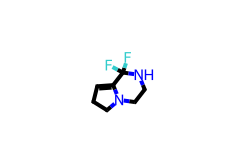 FC1(F)NCCN2CCC=C21